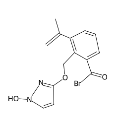 C=C(C)c1cccc(C(=O)Br)c1COc1ccn(O)n1